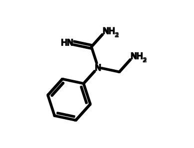 N=C(N)N(CN)c1ccccc1